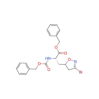 O=C(N[C@@H](CC1CC(Br)=NO1)C(=O)OCc1ccccc1)OCc1ccccc1